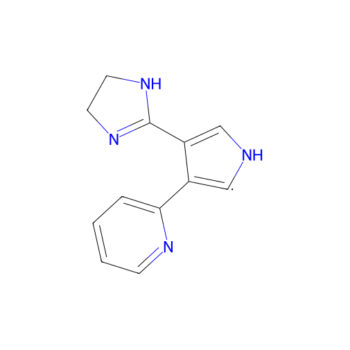 [c]1[nH]cc(C2=NCCN2)c1-c1ccccn1